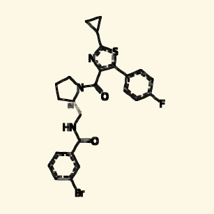 O=C(NC[C@@H]1CCCN1C(=O)c1nc(C2CC2)sc1-c1ccc(F)cc1)c1cccc(Br)c1